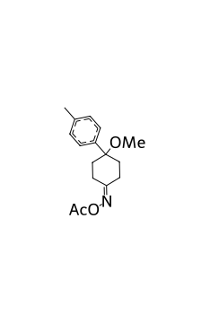 COC1(c2ccc(C)cc2)CCC(=NOC(C)=O)CC1